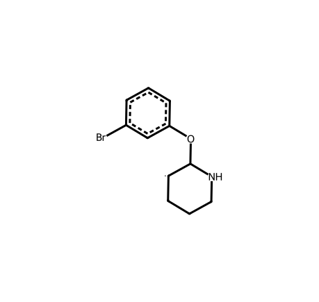 Brc1cccc(OC2[CH]CCCN2)c1